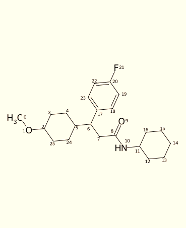 COC1CCC(C(CC(=O)NC2CCCCC2)c2ccc(F)cc2)CC1